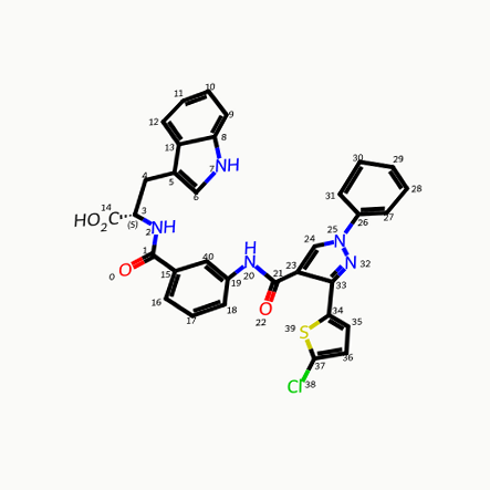 O=C(N[C@@H](Cc1c[nH]c2ccccc12)C(=O)O)c1cccc(NC(=O)c2cn(-c3ccccc3)nc2-c2ccc(Cl)s2)c1